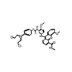 CNC(=O)c1cccc2c(Nc3ccc(OC)c(NC(=O)Oc4ccc(N(CCCl)CCCl)cc4)c3)c3cccc(OC)c3nc12